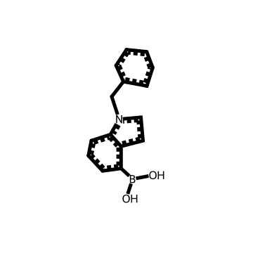 OB(O)c1cccc2c1ccn2Cc1ccccc1